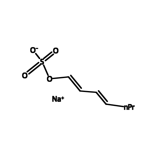 CCC/C=C/C=C/OS(=O)(=O)[O-].[Na+]